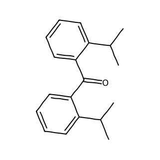 CC(C)c1ccccc1C(=O)c1ccccc1C(C)C